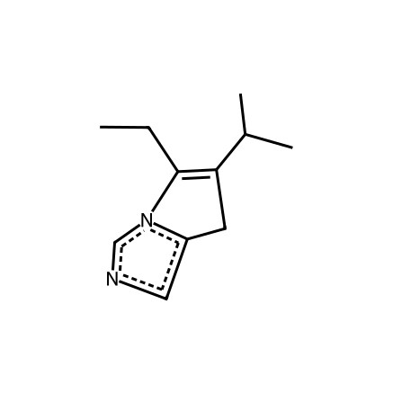 CCC1=C(C(C)C)Cc2cncn21